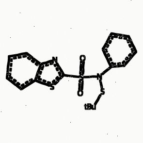 CC(C)(C)SN(c1ccccc1)S(=O)(=O)c1nc2ccccc2s1